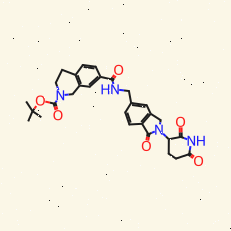 CC(C)(C)OC(=O)N1CCc2ccc(C(=O)NCc3ccc4c(c3)CN(C3CCC(=O)NC3=O)C4=O)cc2C1